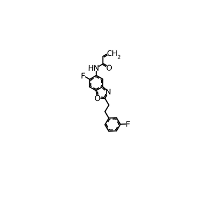 C=CC(=O)Nc1cc2nc(CCc3cccc(F)c3)oc2cc1F